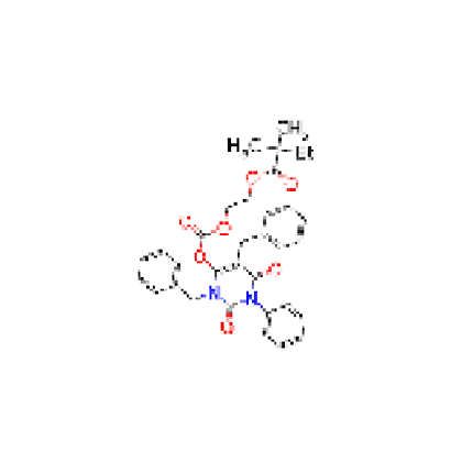 CCC(C)(C)C(=O)OCCOC(=O)Oc1c(Cc2ccccc2)c(=O)n(-c2ccccc2)c(=O)n1Cc1ccccc1